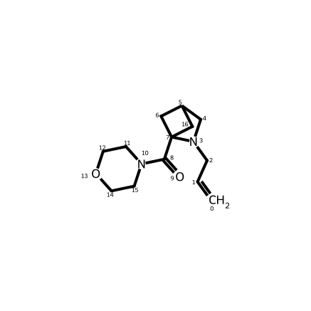 C=CCN1CC2CC1(C(=O)N1CCOCC1)C2